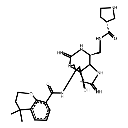 CC1(C)CCOc2c(C(=O)NC3CN4C(=N)N[C@@H](CNC(=O)[C@@H]5CCNC5)C5NC(=N)NC54[C@@H]3O)cccc21